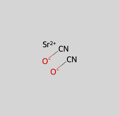 N#C[O-].N#C[O-].[Sr+2]